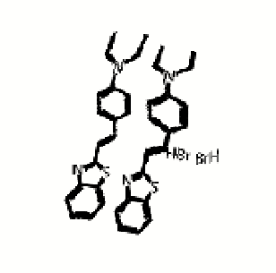 Br.Br.CCN(CC)c1ccc(C=Cc2nc3ccccc3s2)cc1.CCN(CC)c1ccc(C=Cc2nc3ccccc3s2)cc1